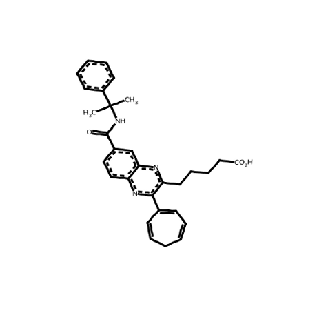 CC(C)(NC(=O)c1ccc2nc(C3=CC=CCC=C3)c(CCCCC(=O)O)nc2c1)c1ccccc1